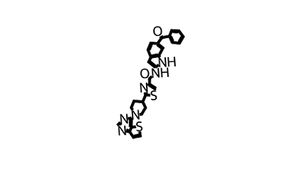 O=C(c1ccccc1)c1ccc2cc(NC(=O)c3csc(C4CCN(c5ncnc6ccsc56)CC4)n3)[nH]c2c1